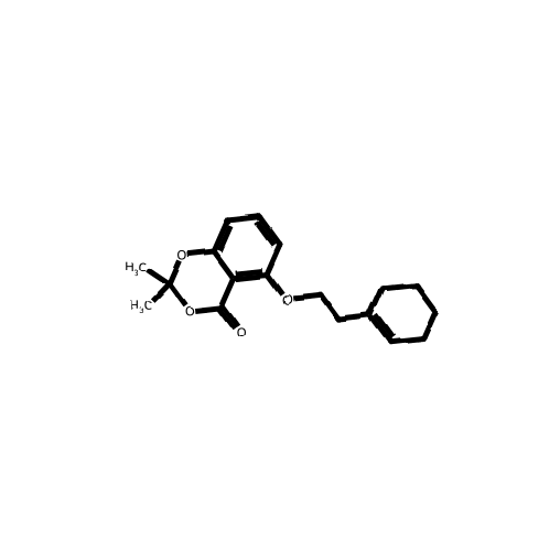 CC1(C)OC(=O)c2c(OCCC3=CCCCC3)cccc2O1